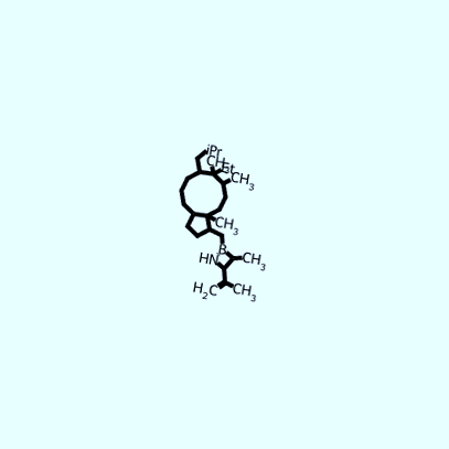 C=C(C)C1NB(CC2CCC3CCCC(CC(C)C)C(C)(CC)C(C)CCC32C)C1C